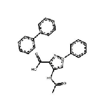 CC(=O)Nc1cn(-c2ccccc2)nc1C(=O)O.c1ccc(-c2ccccc2)cc1